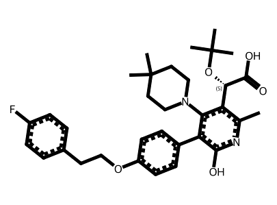 Cc1nc(O)c(-c2ccc(OCCc3ccc(F)cc3)cc2)c(N2CCC(C)(C)CC2)c1[C@H](OC(C)(C)C)C(=O)O